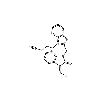 N#CCCCn1c(CN2C(=O)C(=NO)c3cccnc32)nc2ccccc21